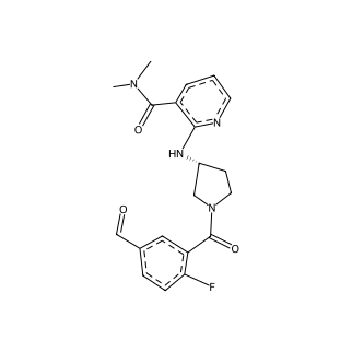 CN(C)C(=O)c1cccnc1N[C@@H]1CCN(C(=O)c2cc(C=O)ccc2F)C1